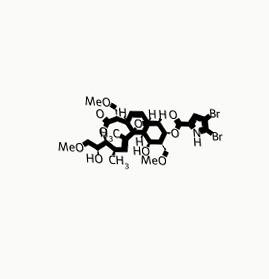 COC[C@@H]1[C@@H](O)[C@@H]2[C@H]3C=C[C@@H]4[C@@H](COC)C(=O)O[C@H]([C@H](O)COC)[C@H](C)/C=C(\C)[C@@]24O[C@H]3[C@@H]1OC(=O)c1cc(Br)c(Br)[nH]1